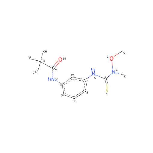 CON(C)C(=S)Nc1cccc(NC(=O)C(C)(C)C)c1